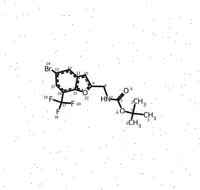 CC(C)(C)OC(=O)NCc1cc2cc(Br)cc(C(F)(F)F)c2o1